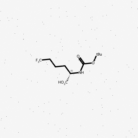 CC(C)(C)OC(=O)N[C@@H](CCCC(F)(F)F)C(=O)O